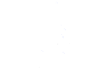 Cc1cc(COc2ccc(C(=O)NOC(=O)C(F)(F)F)c([C@H]3CNCC4S[C@]43N3CCN=N3)c2)c2ccccc2n1